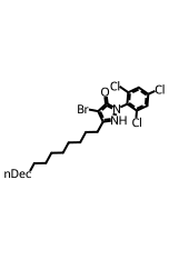 CCCCCCCCCCCCCCCCCCc1[nH]n(-c2c(Cl)cc(Cl)cc2Cl)c(=O)c1Br